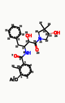 CC(=O)Oc1cccc(C(=O)NC(Cc2ccccc2)C(O)C(=O)N2C[C@@H](O)C(C)(C)C2)c1C